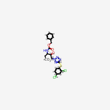 O=C(O)CC(NC(=O)OCc1ccccc1)C(=O)Cn1nnc(Sc2ccc(Cl)cc2Cl)n1